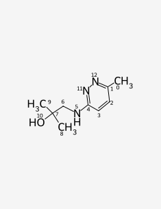 Cc1ccc(NCC(C)(C)O)nn1